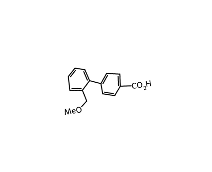 COCc1ccccc1-c1ccc(C(=O)O)cc1